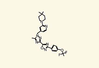 Cc1nc(-c2nc(-c3ccc(OC(C)(F)F)cc3)no2)nn1Cc1ccnc(N2CCC(C)(C)CC2)c1